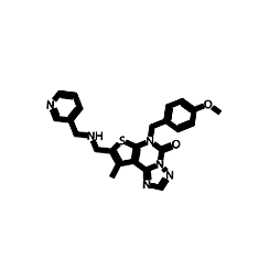 COc1ccc(Cn2c(=O)n3ncnc3c3c(C)c(CNCc4cccnc4)sc32)cc1